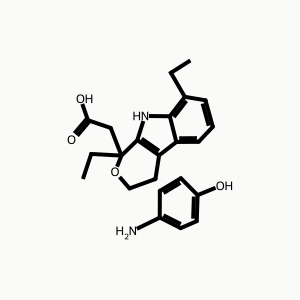 CCc1cccc2c3c([nH]c12)C(CC)(CC(=O)O)OCC3.Nc1ccc(O)cc1